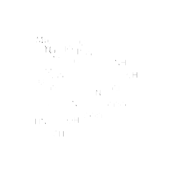 Cc1[nH+]cc(COP(=O)([O-])[O-])c(CN(CCN(CC(=O)[O-])Cc2c(COP(=O)([O-])O)c[nH+]c(C)c2O)CC(=O)[O-])c1O.[Mn].[Na+].[Na+].[Na+]